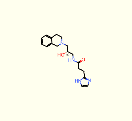 O=C(CCc1ncc[nH]1)NC[C@H](O)CN1CCc2ccccc2C1